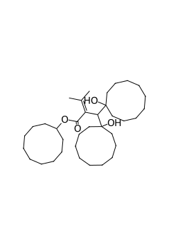 CC(C)=C(C(=O)OC1CCCCCCCCC1)C(C1(O)CCCCCCCCC1)C1(O)CCCCCCCCC1